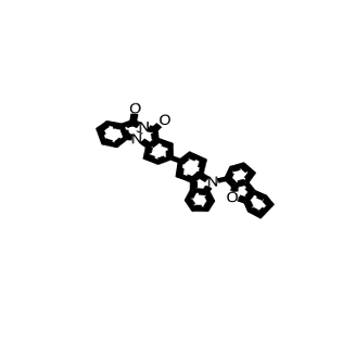 O=c1c2ccccc2n2c3ccc(-c4ccc5c(c4)c4ccccc4n5-c4cccc5c4oc4ccccc45)cc3c(=O)n12